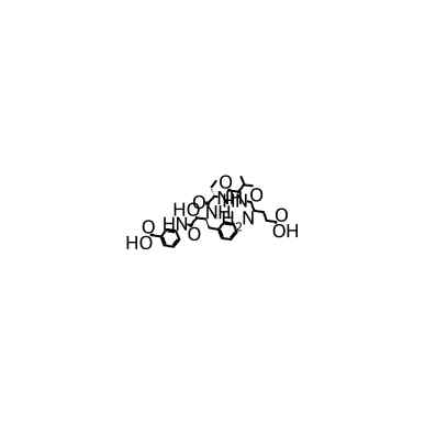 CC[C@H](NC(=O)[C@@H](NC(=O)[C@@H](N)CCC(=O)O)C(C)C)C(=O)N[C@@H](Cc1ccccc1)[C@@H](O)C(=O)Nc1cccc(C(=O)O)c1